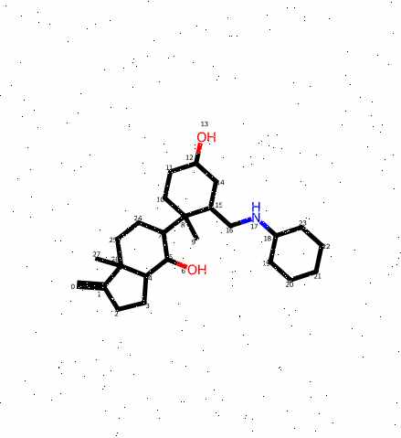 C=C1CCC2C(O)C(C3(C)CCC(O)CC3CNC3CCCCC3)CCC12C